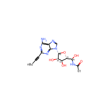 CCCCC#Cc1nc(N)c2ncn([C@@H]3O[C@H]([C@@H](O)NC(=O)CC)[C@@H](O)[C@H]3O)c2n1